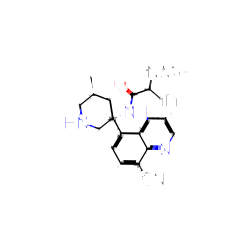 CNC(C(=O)N[C@]1(c2ccc(C#N)c3ncccc23)CNC[C@@H](C)C1)C(C)C